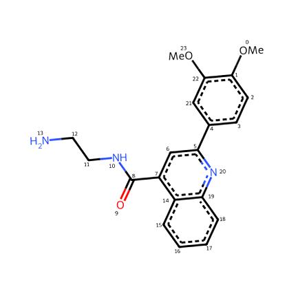 COc1ccc(-c2cc(C(=O)NCCN)c3ccccc3n2)cc1OC